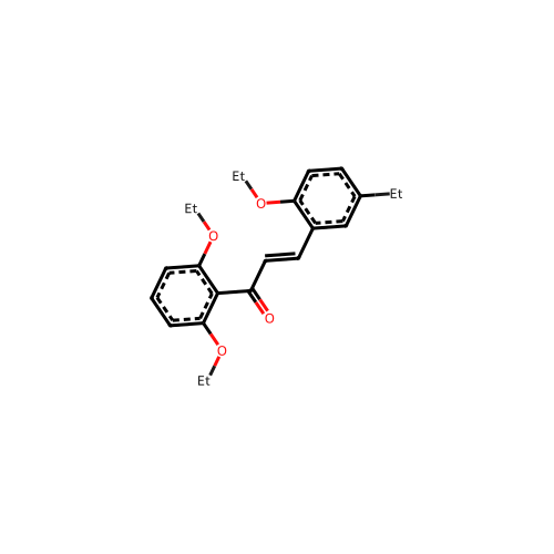 CCOc1ccc(CC)cc1/C=C/C(=O)c1c(OCC)cccc1OCC